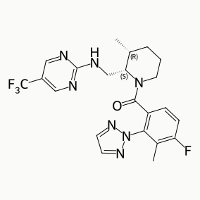 Cc1c(F)ccc(C(=O)N2CCC[C@@H](C)[C@H]2CNc2ncc(C(F)(F)F)cn2)c1-n1nccn1